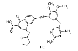 COc1cc(Cc2cnc(N)nc2N)cc(C#Cc2ccc3c(=O)c(C(=O)O)cn(CC4CCCO4)c3c2)c1OC.Cl